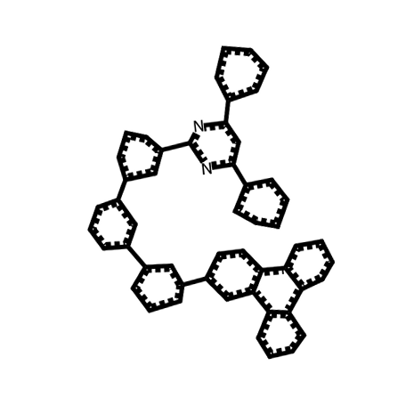 c1ccc(-c2cc(-c3ccccc3)nc(-c3cccc(-c4cccc(-c5cccc(-c6ccc7c8ccccc8c8ccccc8c7c6)c5)c4)c3)n2)cc1